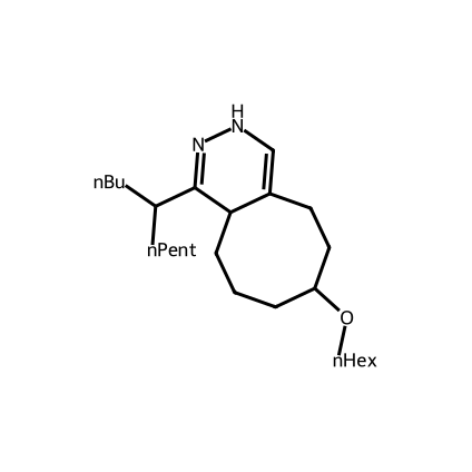 CCCCCCOC1CCCC2C(=CNN=C2C(CCCC)CCCCC)CC1